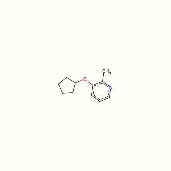 Cc1ncccc1OC1CCCC1